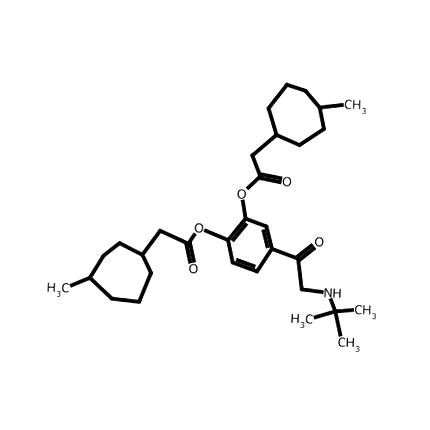 CC1CCCC(CC(=O)Oc2ccc(C(=O)CNC(C)(C)C)cc2OC(=O)CC2CCCC(C)CC2)CC1